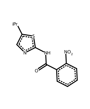 CC(C)c1cnc(NC(=O)c2ccccc2[N+](=O)[O-])s1